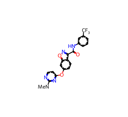 CNc1nccc(Oc2ccc3c(C(=O)Nc4cccc(C(F)(F)F)c4)noc3c2)n1